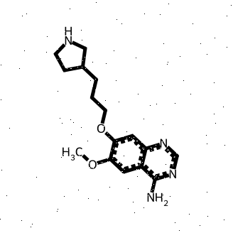 COc1cc2c(N)ncnc2cc1OCCCC1CCNC1